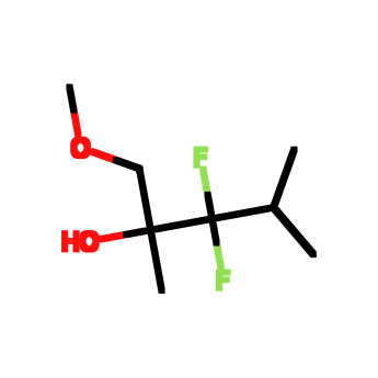 COCC(C)(O)C(F)(F)C(C)C